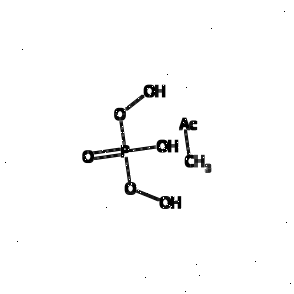 CC(C)=O.O=P(O)(OO)OO